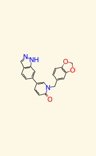 O=c1ccc(-c2ccc3cn[nH]c3c2)cn1Cc1ccc2c(c1)OCO2